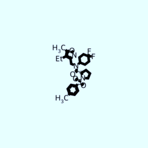 CCc1c(CN(C(=O)[C@@H]2CCCN2S(=O)(=O)c2ccc(C)cc2)C2CCC(F)(F)CC2)noc1C